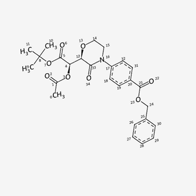 CC(=O)O[C@@H](C(=O)OC(C)(C)C)[C@H]1OCCN(c2ccc(C(=O)OCc3ccccc3)cc2)C1=O